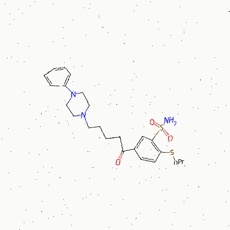 CCCSc1ccc(C(=O)CCCCN2CCN(c3ccccc3)CC2)cc1S(N)(=O)=O